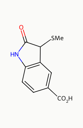 CSC1C(=O)Nc2ccc(C(=O)O)cc21